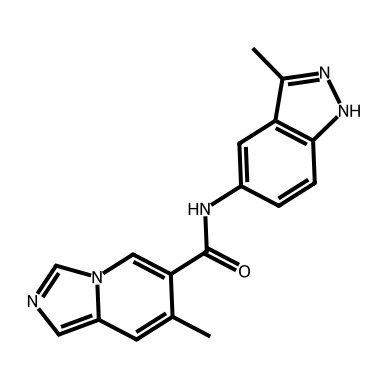 Cc1cc2cncn2cc1C(=O)Nc1ccc2[nH]nc(C)c2c1